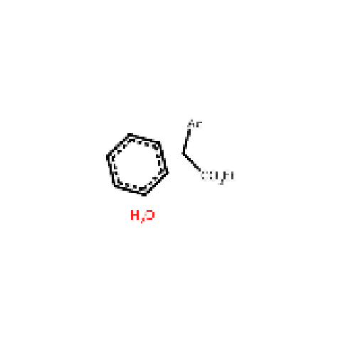 CCOC(=O)CC(C)=O.O.c1ccccc1